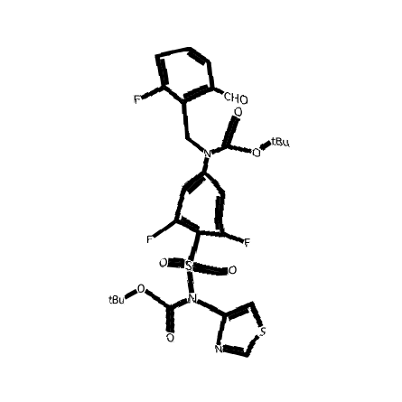 CC(C)(C)OC(=O)N(Cc1c(F)cccc1C=O)c1cc(F)c(S(=O)(=O)N(C(=O)OC(C)(C)C)c2cscn2)c(F)c1